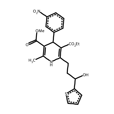 CCOC(=O)C1=C(CCC(O)c2cccs2)NC(C)=C(C(=O)OC)C1c1cccc([N+](=O)[O-])c1